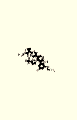 CCNc1cc(F)cc2c1[nH]c1ncc(-c3cnc(C4(C(=O)NC)CC4)nc3)c(-n3ccc(C(F)(F)F)n3)c12